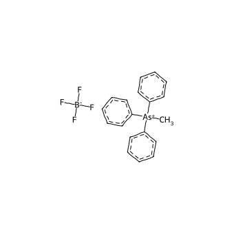 C[As+](c1ccccc1)(c1ccccc1)c1ccccc1.F[B-](F)(F)F